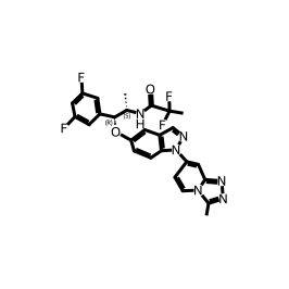 Cc1nnc2cc(-n3ncc4cc(O[C@H](c5cc(F)cc(F)c5)[C@H](C)NC(=O)C(C)(F)F)ccc43)ccn12